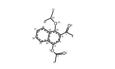 CC(=O)Oc1cc(C(C)=O)c(OC(C)C)c2ccccc12